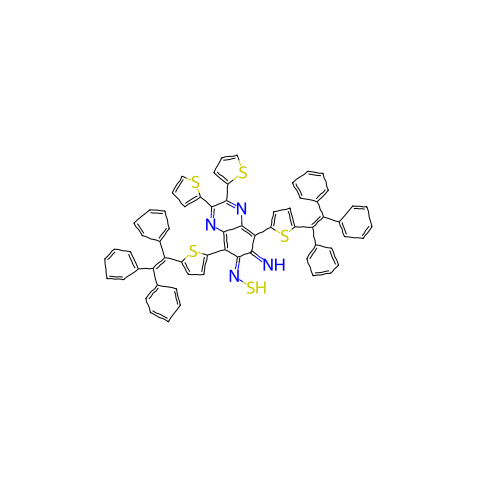 N=C1C(c2ccc(C(=C(c3ccccc3)c3ccccc3)c3ccccc3)s2)=c2nc(-c3cccs3)c(-c3cccs3)nc2=C(c2ccc(C(=C(c3ccccc3)c3ccccc3)c3ccccc3)s2)/C1=N/S